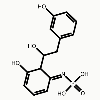 O=P(O)(O)N=C1C=CC=C(O)C1C(O)Cc1cccc(O)c1